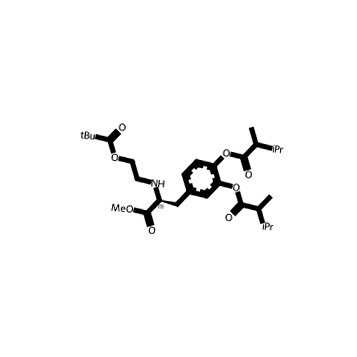 COC(=O)[C@H](Cc1ccc(OC(=O)C(C)C(C)C)c(OC(=O)C(C)C(C)C)c1)NCCOC(=O)C(C)(C)C